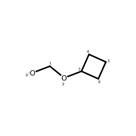 [O]COC1CCC1